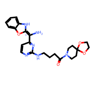 N/C(=C1\Nc2ccccc2O1)c1ccnc(NCCCC(=O)N2CCC3(CC2)OCCO3)n1